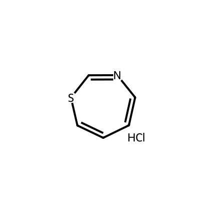 C1=CN=CSC=C1.Cl